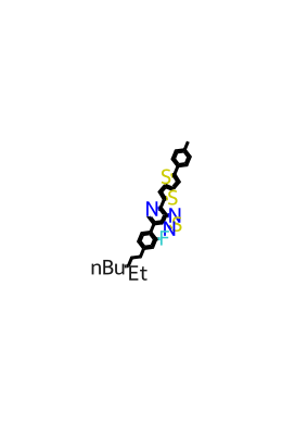 CCCCC(CC)CCc1ccc(-c2cnc(-c3cc4sc(-c5ccc(C)cc5)cc4s3)c3nsnc23)c(F)c1